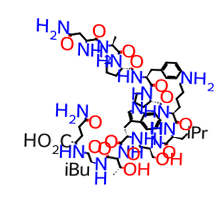 CC[C@H](C)[C@H](NC(=O)[C@@H](NC(=O)[C@H](Cc1c[nH]c2ccccc12)NC(=O)[C@H](CO)NC(=O)[C@H](CC(C)C)NC(=O)[C@H](CCCCN)NC(=O)[C@@H]1CCCN1C(=O)[C@H](Cc1ccccc1)NC(=O)[C@@H]1CCCN1C(=O)[C@H](C)NC(=O)[C@@H](N)CC(N)=O)[C@@H](C)O)C(=O)N[C@@H](CCC(N)=O)C(=O)O